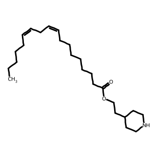 CCCCC/C=C\C/C=C\CCCCCCCC(=O)OCCC1CCNCC1